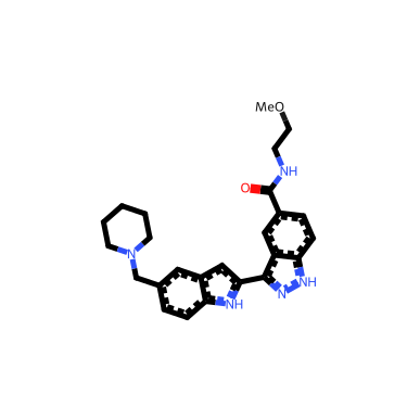 COCCNC(=O)c1ccc2[nH]nc(-c3cc4cc(CN5CCCCC5)ccc4[nH]3)c2c1